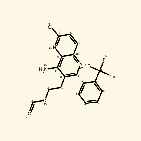 FC(F)(F)c1ccccc1.Nc1c(CCOC=O)cnc2ccc(Cl)nc12